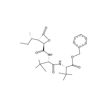 CC[C@H](C)[C@@H]1C(=O)O[C@H]1C(=O)N[C@H](C(=O)N[C@H](C(=O)OCc1ccccc1)C(C)(C)C)C(C)(C)C